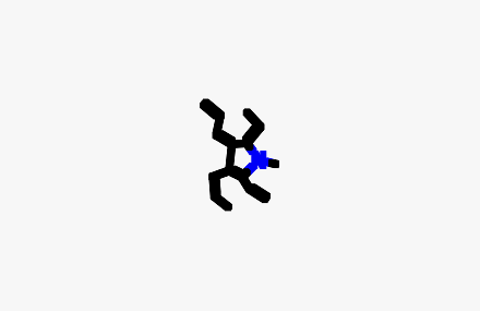 C=C/C=c1/c(/C=C\C)c(C=C)n(C)/c1=C/C